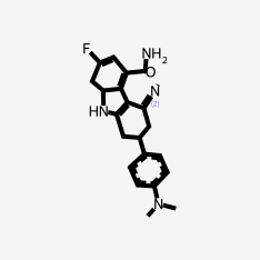 C/N=C1/CC(c2ccc(N(C)C)cc2)CC2=C1C1=C(C(N)=O)C=C(F)CC1N2